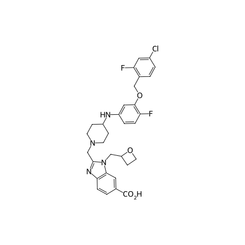 O=C(O)c1ccc2nc(CN3CCC(Nc4ccc(F)c(OCc5ccc(Cl)cc5F)c4)CC3)n(CC3CCO3)c2c1